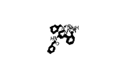 CCCN(Cc1ccccc1)c1cc(NC(=O)Cc2ccccc2)cc(-c2ccccc2-c2nn[nH]n2)n1